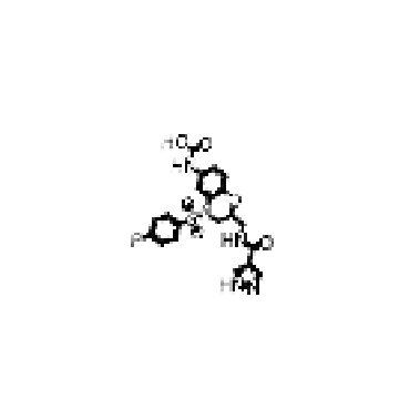 O=C(O)Nc1ccc2c(c1)N(S(=O)(=O)c1ccc(F)cc1)CC(CNC(=O)c1cn[nH]c1)O2